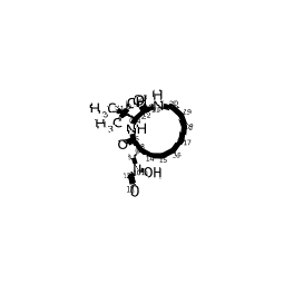 CC(C)(C)[C@@H]1NC(=O)[C@@H](CN(O)C=O)CCCCCCCNC1=O